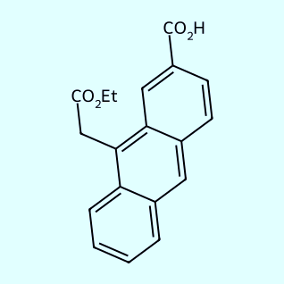 CCOC(=O)Cc1c2ccccc2cc2ccc(C(=O)O)cc12